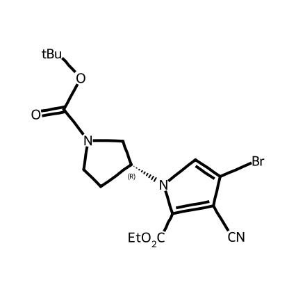 CCOC(=O)c1c(C#N)c(Br)cn1[C@@H]1CCN(C(=O)OC(C)(C)C)C1